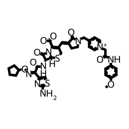 COc1ccc(NC(=O)C[n+]2ccc(CN3CCC(=CC4=C(C(=O)[O-])N5C(=O)[C@@H](NC(=O)/C(=N\OC6CCCC6)c6csc(N)n6)[C@H]5SC4)C3=O)cc2)cc1